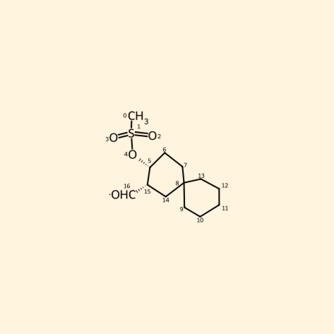 CS(=O)(=O)O[C@@H]1CCC2(CCCCC2)C[C@@H]1[C]=O